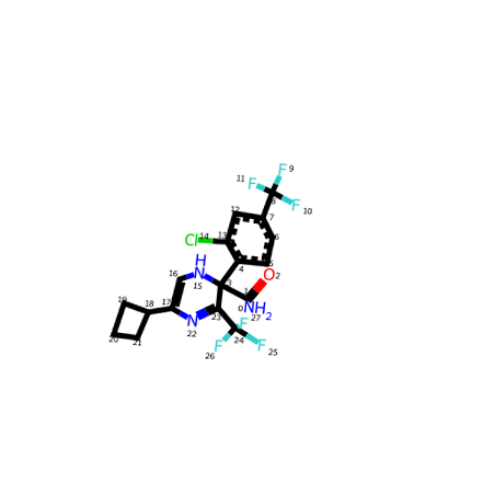 NC(=O)C1(c2ccc(C(F)(F)F)cc2Cl)NC=C(C2CCC2)N=C1C(F)(F)F